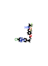 O=C(Cc1ccc(OCC[C@@H]2C[C@@H]2C2CCN(c3ncc(Cl)cn3)CC2)cc1F)NC1CC1(F)F